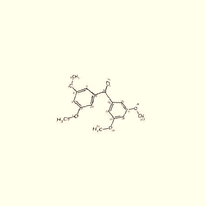 COc1cc(OC)cc(C(Cl)c2cc(OC)cc(OC)c2)c1